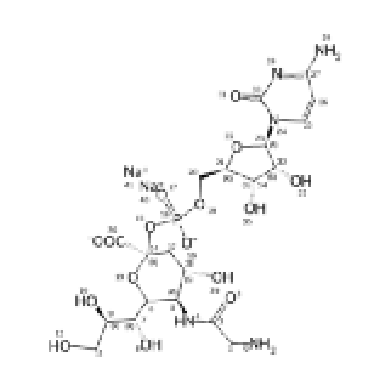 NCC(=O)N[C@H]1C([C@H](O)[C@H](O)CO)O[C@](OP(=O)([O-])OC[C@H]2O[C@@H](n3ccc(N)nc3=O)[C@H](O)[C@@H]2O)(C(=O)[O-])C[C@@H]1O.[Na+].[Na+]